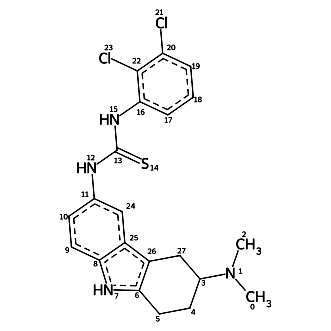 CN(C)C1CCc2[nH]c3ccc(NC(=S)Nc4cccc(Cl)c4Cl)cc3c2C1